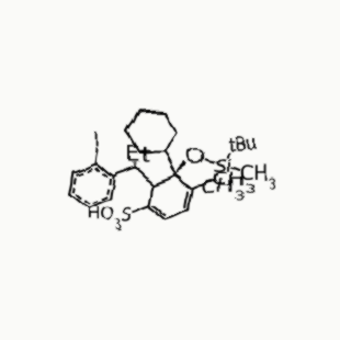 CC[C@@H](c1ccccc1I)C1C(S(=O)(=O)O)=CC=C(C)[C@@]1(O[Si](C)(C)C(C)(C)C)C1CCCCC1